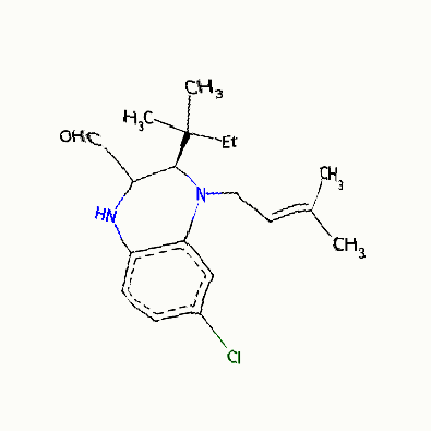 CCC(C)(C)[C@@H]1C(C=O)Nc2ccc(Cl)cc2N1CC=C(C)C